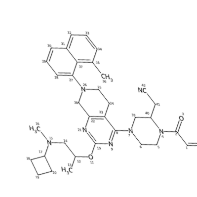 C=CC(=O)N1CCN(c2nc(OC(C)CN(C)C3CCC3)nc3c2CCN(c2cccc4cccc(C)c24)C3)CC1CC#N